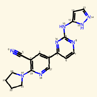 N#Cc1cc(-c2ccnc(Nc3ccn[nH]3)n2)cnc1N1CCCC1